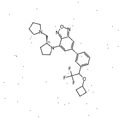 FC(F)(F)C(OC1CCC1)c1cccc(-c2cc(N3CCC[C@H]3CN3CCCC3)c3nonc3c2)c1